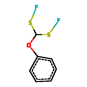 FSC(Oc1ccccc1)SF